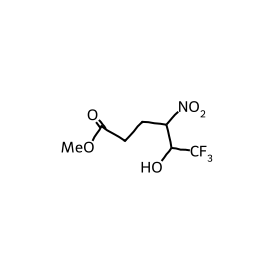 COC(=O)CCC(C(O)C(F)(F)F)[N+](=O)[O-]